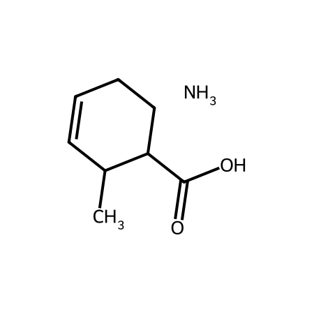 CC1C=CCCC1C(=O)O.N